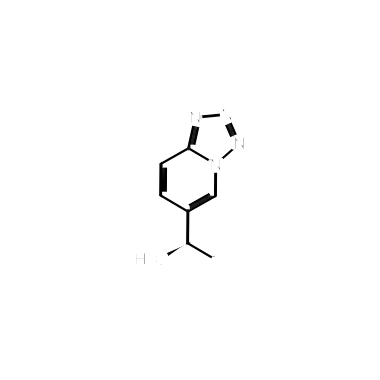 C[C@H](I)c1ccc2nnnn2c1